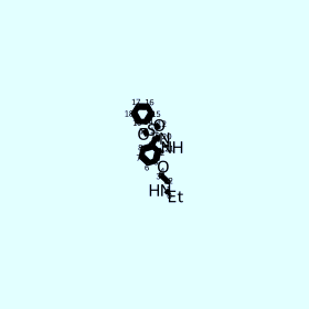 CCNCCOc1cccc2c(S(=O)(=O)c3ccccc3)n[nH]c12